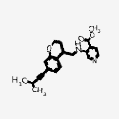 COC(=O)c1ccncc1NCC1CCOc2cc(C#CC(C)C)ccc21